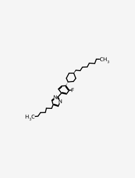 CCCCCCCC[C@H]1CC[C@H](c2ccc(-c3ncc(CCCCCC)cn3)cc2F)CC1